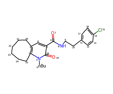 CCCCn1c2c(cc(C(=O)NCCc3ccc(Cl)cc3)c1=O)CCCCCC2